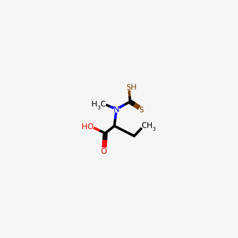 CCC(C(=O)O)N(C)C(=S)S